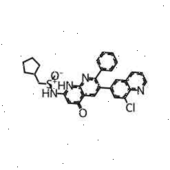 O=c1cc(N[S+]([O-])CC2CCCC2)[nH]c2nc(-c3ccccc3)c(-c3cc(Cl)c4ncccc4c3)cc12